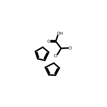 C1=CCC=C1.C1=CCC=C1.O=C(O)C(Cl)Cl